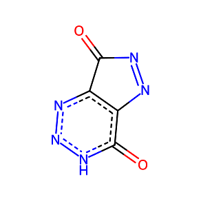 O=C1N=Nc2c1nn[nH]c2=O